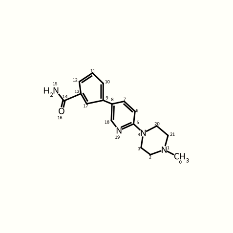 CN1CCN(c2ccc(-c3cccc(C(N)=O)c3)cn2)CC1